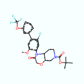 COc1cc(-c2cccc(OC(F)(F)F)c2)c(F)cc1N1C(=O)COC2CN(C(=O)OC(C)(C)C)CCC21